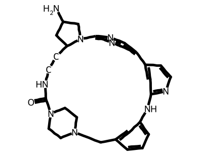 NC1CC2CCNC(=O)N3CCN(CC3)Cc3cccc(c3)Nc3cc(ccn3)-c3cnc(nc3)N2C1